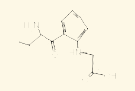 CCC(N)C(=O)c1ccccc1NCC(=O)O